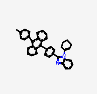 Cc1ccc(-c2c3ccccc3c(-c3ccc(-c4nc5ccccc5n4C4=CCCCC4)cc3)c3ccccc23)cc1